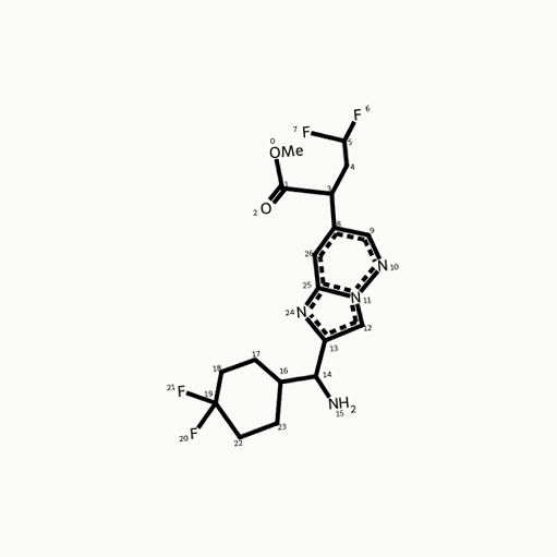 COC(=O)C(CC(F)F)c1cnn2cc(C(N)C3CCC(F)(F)CC3)nc2c1